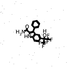 NC(=O)c1[nH]c2ccc(C(O)(C(F)(F)F)C(F)(F)F)cc2c1-c1ccccc1